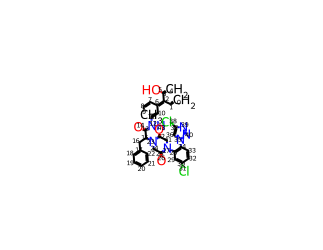 C=C/C(C(=C)O)=C(/C=C\C)\C=C\NC(=O)C(Cc1ccccc1)N1CC(=O)N(c2cc(Cl)ccc2-n2cc(Cl)nn2)CC1=O